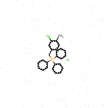 Cc1ccc(C[P+](c2ccccc2)(c2ccccc2)c2ccccc2)cc1Cl.[Cl-]